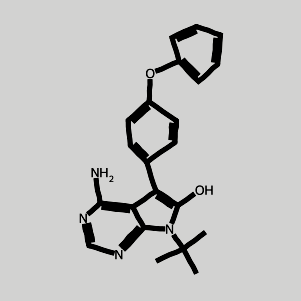 CC(C)(C)n1c(O)c(-c2ccc(Oc3ccccc3)cc2)c2c(N)ncnc21